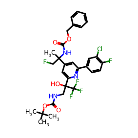 CC(C)(C)OC(=O)NCC(O)(c1cc(C(C)(CF)NC(=O)OCc2ccccc2)cc(-c2ccc(F)c(Cl)c2)n1)C(F)(F)F